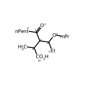 CCCCCC(=O)C(C(CC)OCCC)C(C)C(=O)O